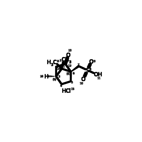 CC1(C)[C@H]2CC[C@@]1(CS(=O)(=O)O)C(=O)C2.Cl